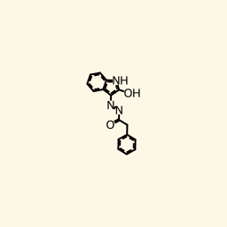 O=C(Cc1ccccc1)N=Nc1c(O)[nH]c2ccccc12